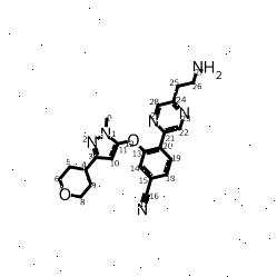 Cn1nc(C2CCOCC2)cc1Oc1cc(C#N)ccc1-c1cnc(CCN)cn1